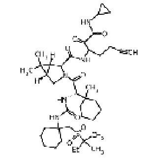 C#CCCC(NC(=O)[C@@H]1[C@@H]2[C@H](CN1C(=O)[C@@H](NC(=O)NC1(CS(=O)(=O)C(C)(C)CC)CCCCC1)C1(C)CCCCC1)C2(C)C)C(=O)C(=O)NC1CC1